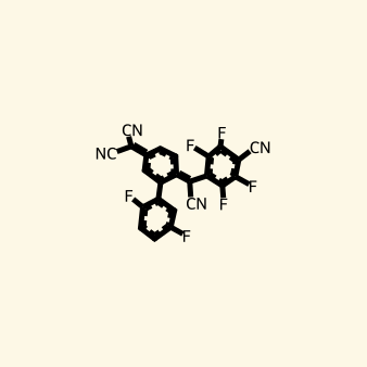 N#CC(C#N)=c1cc/c(=C(/C#N)c2c(F)c(F)c(C#N)c(F)c2F)c(-c2cc(F)ccc2F)c1